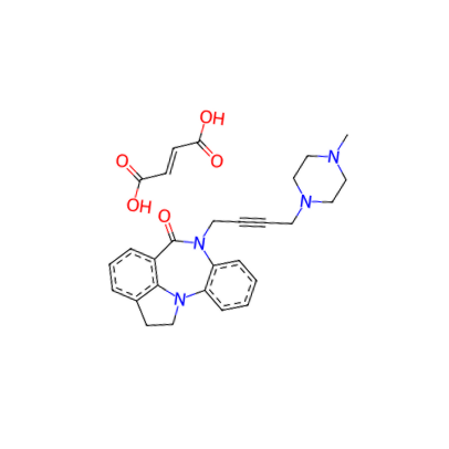 CN1CCN(CC#CCN2C(=O)c3cccc4c3N(CC4)c3ccccc32)CC1.O=C(O)C=CC(=O)O